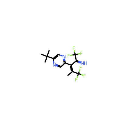 C/C(=C(/C(=N)C(F)(F)F)c1cnc(C(C)(C)C)cn1)C(F)(F)F